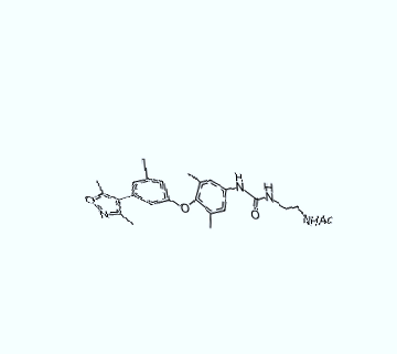 CC(=O)NCCNC(=O)Nc1cc(C)c(Oc2cc(C)cc(-c3c(C)noc3C)c2)c(C)c1